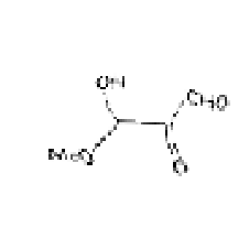 COC(O)C(=O)C=O